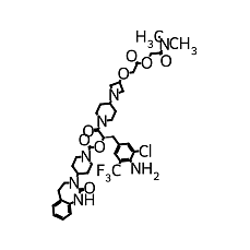 CN(C)C(=O)COC(=O)COC1CN(C2CCN(C(=O)[C@@H](Cc3cc(Cl)c(N)c(C(F)(F)F)c3)OC(=O)N3CCC(N4CCc5ccccc5NC4=O)CC3)CC2)C1